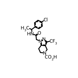 CC(NC(=O)Cn1nc(C(F)(F)F)c2c1CCN(C(=O)O)C2)c1ccc(Cl)cc1